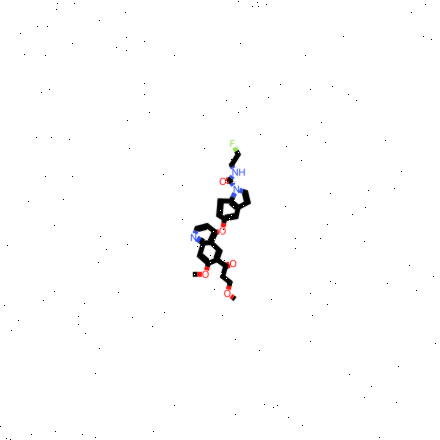 COCCC(=O)c1cc2c(Oc3ccc4c(ccn4C(=O)NCCF)c3)ccnc2cc1OC